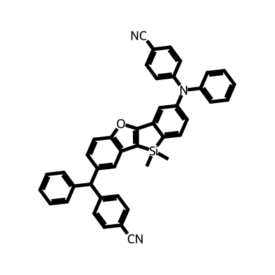 C[Si]1(C)c2ccc(N(c3ccccc3)c3ccc(C#N)cc3)cc2-c2oc3ccc(C(c4ccccc4)c4ccc(C#N)cc4)cc3c21